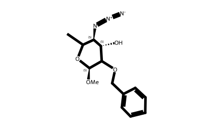 CO[C@H]1OC(C)[C@@H](N=[N+]=[N-])[C@H](O)C1OCc1ccccc1